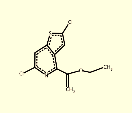 C=C(OCC)c1nc(Cl)cc2sc(Cl)cc12